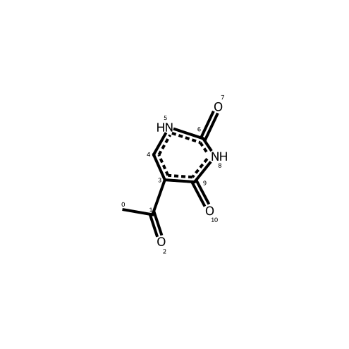 CC(=O)c1c[nH]c(=O)[nH]c1=O